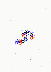 CS(=O)(=O)N1CCC(Nc2ncc3cc(C(F)F)c(=O)n(Cc4ccc(-c5cc(S(=O)(=O)n6cncn6)ccc5F)nc4)c3n2)CC1